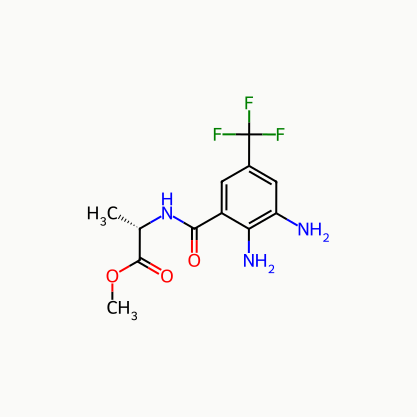 COC(=O)[C@H](C)NC(=O)c1cc(C(F)(F)F)cc(N)c1N